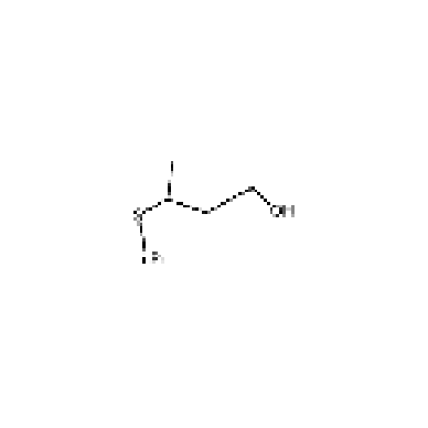 CCCSC(C)CCO